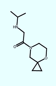 CC(C)NCC(=O)N1CCOC2(CC2)C1